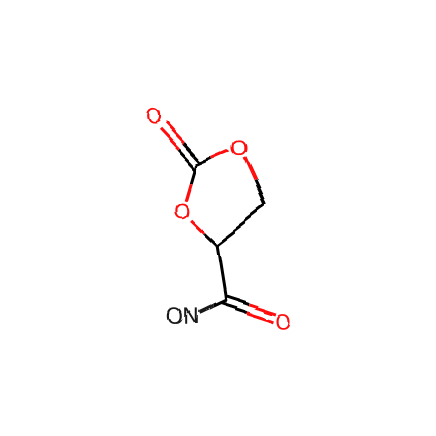 O=NC(=O)C1COC(=O)O1